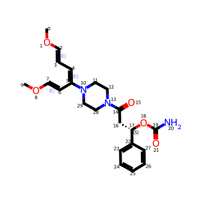 CO/C=C/C=C(\C=C\OC)N1CCN(C(=O)C[C@H](OC(N)=O)c2ccccc2)CC1